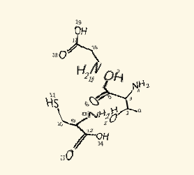 CC(O)C(N)C(=O)O.NC(CS)C(=O)O.NCC(=O)O